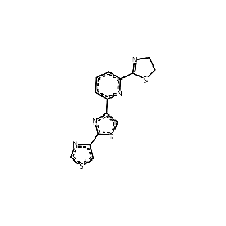 c1cc(C2=NCCS2)nc(-c2csc(-c3cscn3)n2)c1